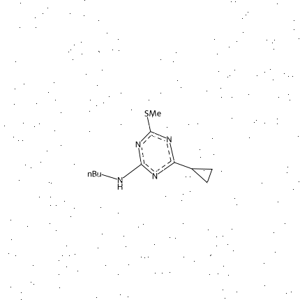 CCCCNc1nc(SC)nc(C2CC2)n1